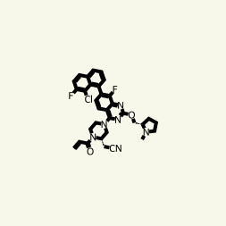 C=CC(=O)N1CCN(c2nc(OC[C@@H]3CCCN3C)nc3c(F)c(-c4cccc5ccc(F)c(Cl)c45)ccc23)C[C@@H]1CC#N